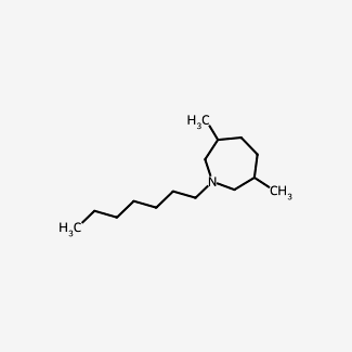 CCCCCCCN1CC(C)CCC(C)C1